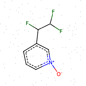 [O-][n+]1cccc(C(F)C(F)F)c1